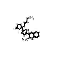 COc1nc2ccccc2cc1-c1cnc(C2(C/C=C/CN)CCC(=O)N2)[nH]1